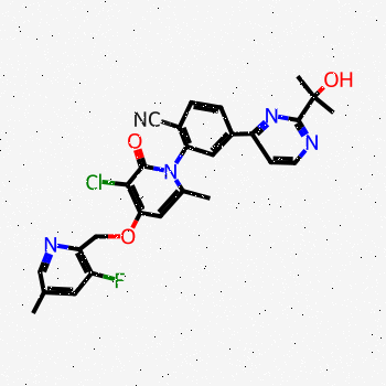 Cc1cnc(COc2cc(C)n(-c3cc(-c4ccnc(C(C)(C)O)n4)ccc3C#N)c(=O)c2Cl)c(F)c1